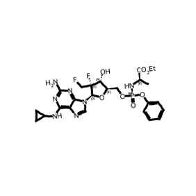 CCOC(=O)[C@@H](C)N[P@@](=O)(OC[C@H]1O[C@@H](n2cnc3c(NC4CC4)nc(N)nc32)[C@@](F)(CF)[C@@H]1O)Oc1ccccc1